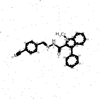 Cn1c(C(=O)NN=Cc2ccc(C#N)cc2)c(-c2ccccc2)c2ccccc21